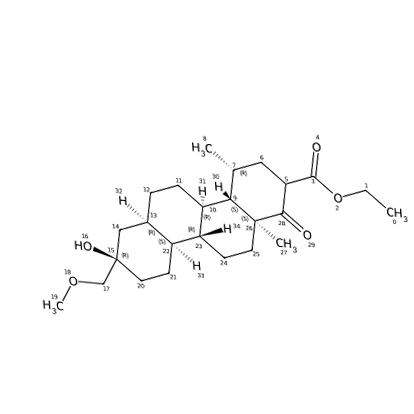 CCOC(=O)C1C[C@@H](C)[C@H]2[C@@H]3CC[C@@H]4C[C@@](O)(COC)CC[C@@H]4[C@H]3CC[C@]2(C)C1=O